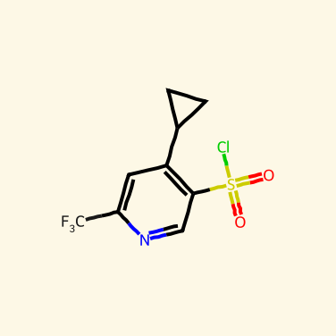 O=S(=O)(Cl)c1cnc(C(F)(F)F)cc1C1CC1